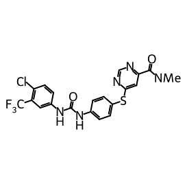 CNC(=O)c1cc(Sc2ccc(NC(=O)Nc3ccc(Cl)c(C(F)(F)F)c3)cc2)ncn1